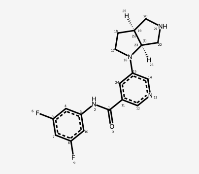 O=C(Nc1cc(F)cc(F)c1)c1cncc(N2CC[C@H]3CNC[C@H]32)c1